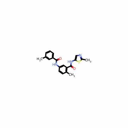 Cc1cccc(C(=O)Nc2ccc(C)c(C(=O)Nc3cnc(C)s3)c2)c1